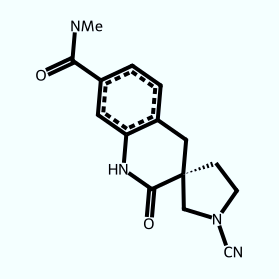 CNC(=O)c1ccc2c(c1)NC(=O)[C@@]1(CCN(C#N)C1)C2